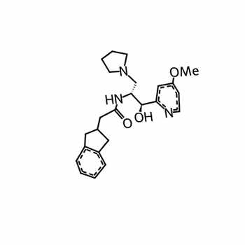 COc1ccnc([C@@H](O)[C@@H](CN2CCCC2)NC(=O)CC2Cc3ccccc3C2)c1